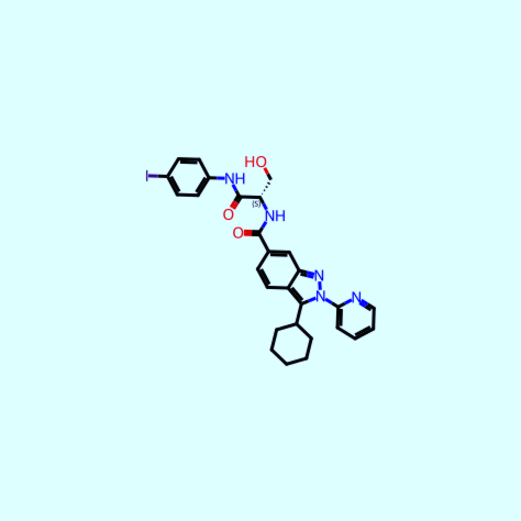 O=C(N[C@@H](CO)C(=O)Nc1ccc(I)cc1)c1ccc2c(C3CCCCC3)n(-c3ccccn3)nc2c1